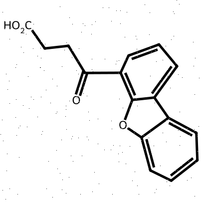 O=C(O)CCC(=O)c1cccc2c1oc1ccccc12